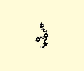 CN(CCO[Si](C)(C)C(C)(C)C)c1ccc(C=Cc2ccc(C=O)s2)c(OCc2ccccc2)c1